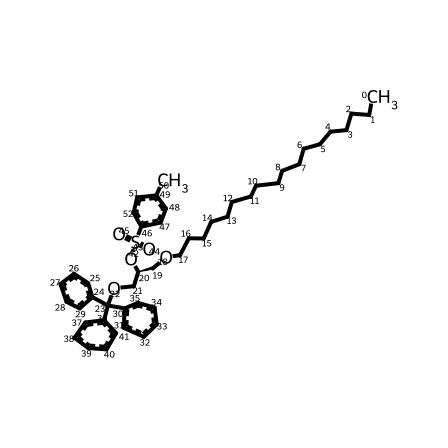 CCCCCCCCCCCCCCCCCCOC[C@@H](COC(c1ccccc1)(c1ccccc1)c1ccccc1)OS(=O)(=O)c1ccc(C)cc1